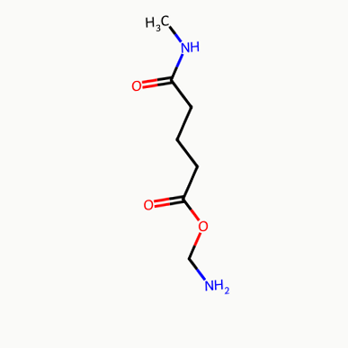 CNC(=O)CCCC(=O)OCN